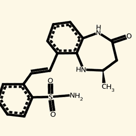 C[C@@H]1CC(=O)Nc2cccc(/C=C/c3ccccc3S(N)(=O)=O)c2N1